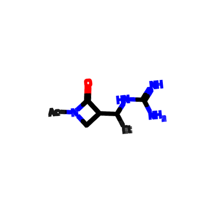 CCC(NC(=N)N)C1CN(C(C)=O)C1=O